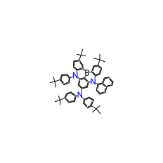 CC(C)(C)c1ccc(N(c2ccc(C(C)(C)C)cc2)c2cc3c4c(c2)N(c2cccc5ccccc25)c2ccc(C(C)(C)C)cc2B4c2cc(C(C)(C)C)ccc2N3c2ccc(C(C)(C)C)cc2)cc1